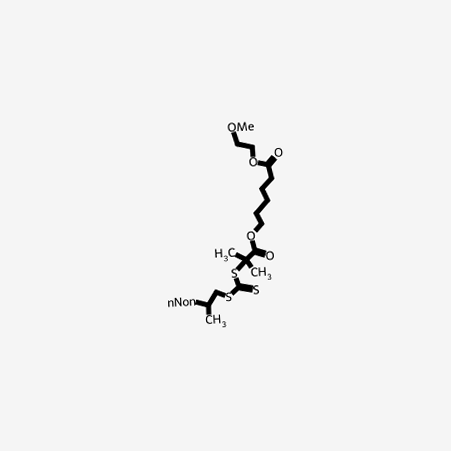 CCCCCCCCCC(C)CSC(=S)SC(C)(C)C(=O)OCCCCCC(=O)OCCOC